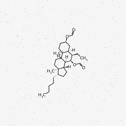 CCCCC[C@H]1CC[C@H]2[C@@H]3[C@H](OC=O)[C@H](CC)[C@@H]4C[C@H](OC=O)CC[C@]4(C)[C@H]3CC[C@]12C